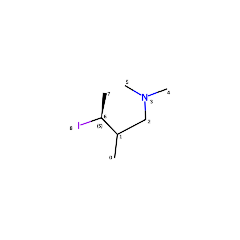 CC(CN(C)C)[C@H](C)I